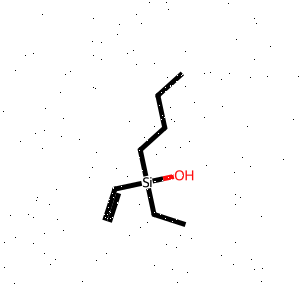 C=C[Si](O)(CC)CCCC